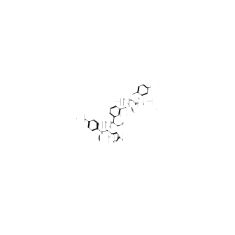 CC(c1ccc(Cl)cc1)C(NC1CCOc2c(C(=O)N[C@@H](Cc3ccc(Cl)cc3)C(N)=O)cccc21)c1cnc[nH]1